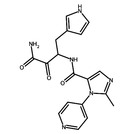 Cc1ncc(C(=O)NC(Cc2cc[nH]c2)C(=O)C(N)=O)n1-c1ccncc1